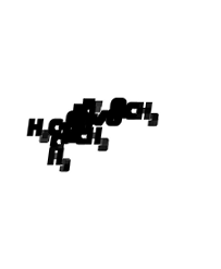 CCC(=O)OCCC(F)(F)C(F)(F)S(=O)(=O)C(C)N(CC)CC